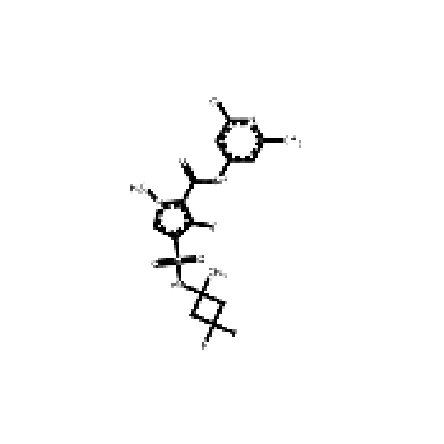 Cc1cc(NC(=O)c2c(F)c(S(=O)(=O)NC3(C)CC(F)(F)C3)cn2C)cc(Cl)n1